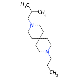 CCCN1CCC2(CC1)CCN(CC(C)C)CC2